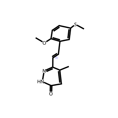 COc1ccc(SC)cc1/C=C/c1n[nH]c(=O)cc1C